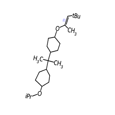 C/C(=C\C(C)(C)C)OC1CCC(C(C)(C)C2CCC(OC(C)C)CC2)CC1